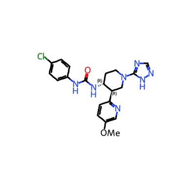 COc1ccc([C@@H]2CN(c3ncn[nH]3)CC[C@H]2NC(=O)Nc2ccc(Cl)cc2)nc1